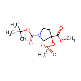 COC(=O)C1(OS(C)(=O)=O)CCN(C(=O)OC(C)(C)C)C1